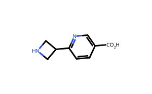 O=C(O)c1ccc(C2CNC2)nc1